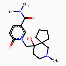 CN1CCC(O)(Cn2cc(C(=O)N(C)C)ccc2=O)C2(CCCC2)C1